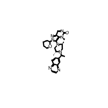 CC(c1ccc2nccnc2c1)N1C[C@H](C)N(c2c3c(cnc(=O)n3C)nn2C2CCCCO2)C[C@H]1C